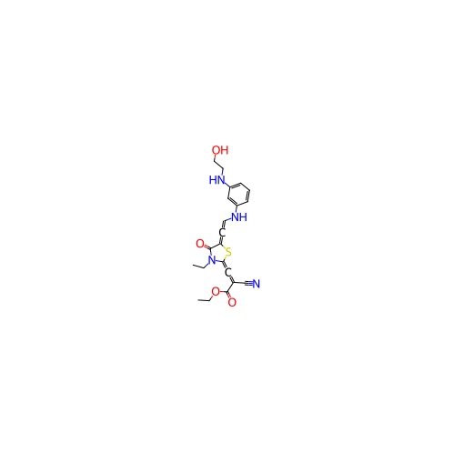 CCOC(=O)C(=C=c1sc(=C=CNc2cccc(NCCO)c2)c(=O)n1CC)C#N